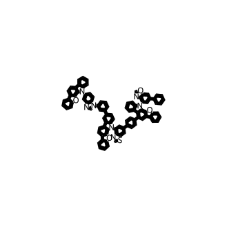 c1ccc(-c2cc(-n3c4ccccc4c4c(-c5ccc(-c6cc(-n7c8ccc(-c9cccc(-n%10cnc%11cc(-n%12c%13ccccc%13c%13ccc%14c%15ccccc%15oc%14c%13%12)ccc%11%10)c9)cc8c8ccc9c%10ccccc%10oc9c87)c7ncsc7c6)cc5)cc5c6ccccc6oc5c43)c3ncoc3c2)cc1